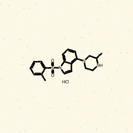 Cc1ccccc1S(=O)(=O)n1ccc2c(N3CCNC(C)C3)cccc21.Cl